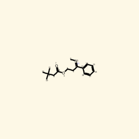 C/N=C(\CCOC(=O)CC(C)(C)C)c1ccccc1